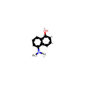 CC(=O)N(C(C)=O)c1cccc2c(O)cccc12